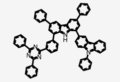 c1ccc(-c2cc(-c3cccc(-c4nc(-c5ccccc5)nc(-c5ccccc5)n4)c3)c3[nH]c4c(-c5ccc6c(c5)c5ccccc5n6-c5ccccc5)cc(-c5ccccc5)cc4c3c2)cc1